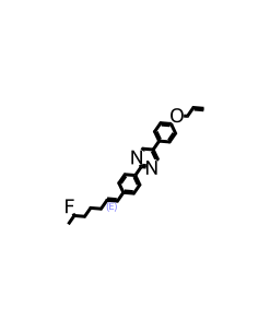 C=CCOc1ccc(-c2cnc(-c3ccc(/C=C/CCCC(C)F)cc3)nc2)cc1